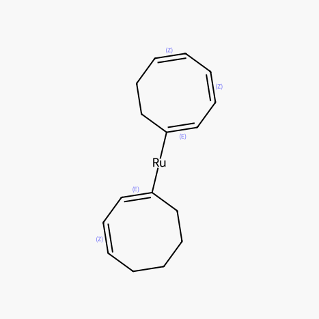 C1=C\C=[C](\[Ru]/[C]2=C/C=C\CCCC2)CC\C=C/1